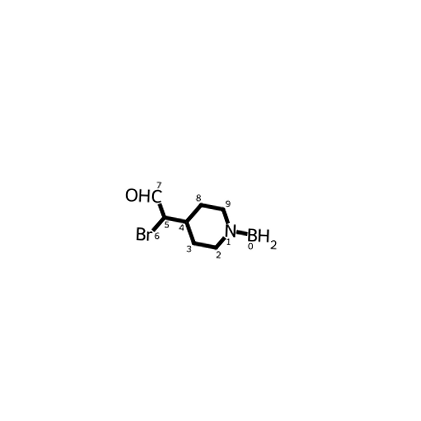 BN1CCC(C(Br)C=O)CC1